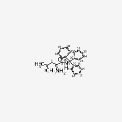 CC(C)C[C@H](N)C(=O)NC(c1ccccc1)(c1ccccc1)c1ccccc1